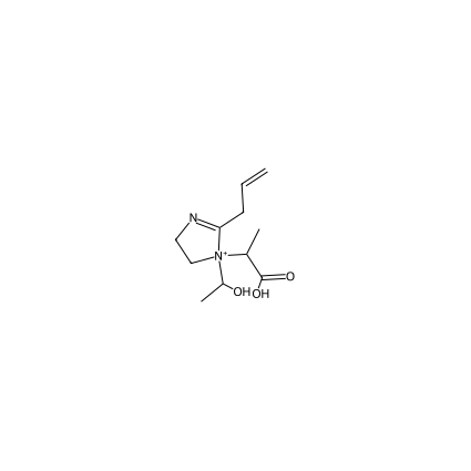 C=CCC1=NCC[N+]1(C(C)O)C(C)C(=O)O